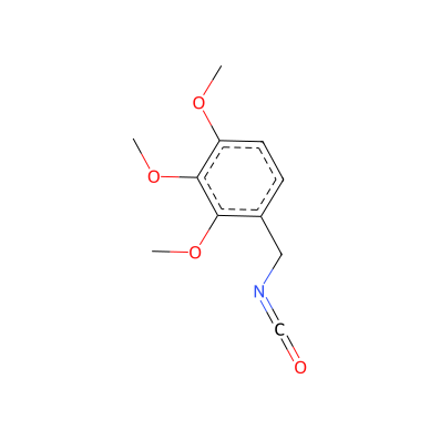 COc1ccc(CN=C=O)c(OC)c1OC